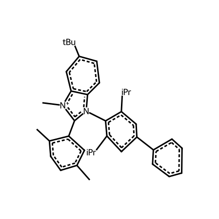 Cc1ccc(C)c(-c2n(-c3c(C(C)C)cc(-c4ccccc4)cc3C(C)C)c3ccc(C(C)(C)C)cc3[n+]2C)c1